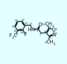 Cc1noc(C)c1CC(=O)NCc1cccc(C(F)(F)F)c1F